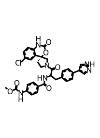 COC(=O)Nc1ccc(C(=O)NC(Cc2ccc(-c3cn[nH]c3)cc2)C(=O)N2CC[C@@]3(C2)OC(=O)Nc2ccc(Cl)cc23)cc1